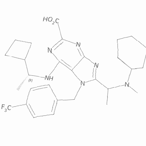 CC(c1nc2nc(C(=O)O)nc(N[C@H](C)C3CCC3)c2n1Cc1ccc(C(F)(F)F)cc1)N(C)C1CCCCC1